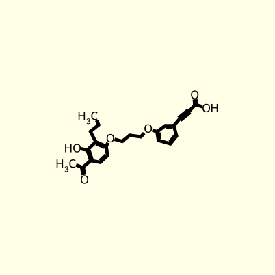 CCCc1c(OCCCOc2cccc(C#CC(=O)O)c2)ccc(C(C)=O)c1O